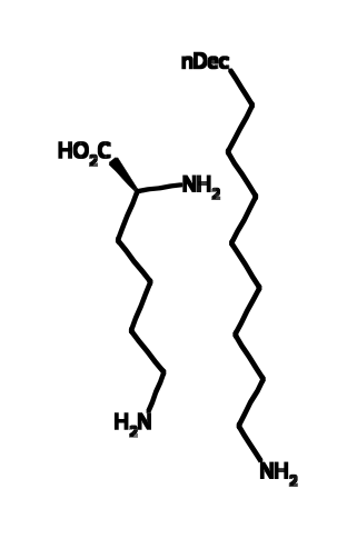 CCCCCCCCCCCCCCCCCCN.NCCCC[C@H](N)C(=O)O